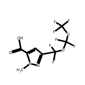 Cn1nc(C(F)(F)OC(F)(F)OC(F)(F)F)cc1C(=O)O